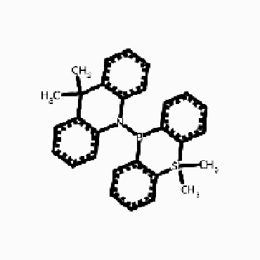 CC1(C)c2ccccc2N(B2c3ccccc3[Si](C)(C)c3ccccc32)c2ccccc21